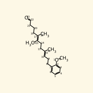 COc1ccccc1CC/C=C(\C)CC/C(C)=C(\C)CCCC=O